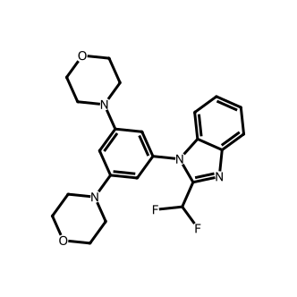 FC(F)c1nc2ccccc2n1-c1cc(N2CCOCC2)cc(N2CCOCC2)c1